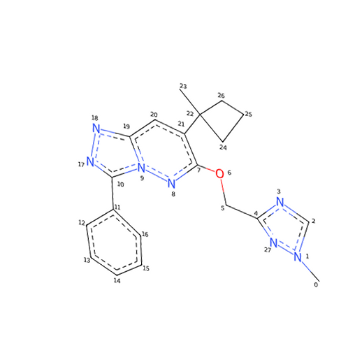 Cn1cnc(COc2nn3c(-c4ccccc4)nnc3cc2C2(C)CCC2)n1